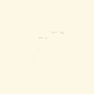 C#CCOC(=C)CN=C=S